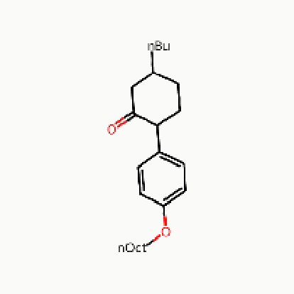 CCCCCCCCOc1ccc(C2CCC(CCCC)CC2=O)cc1